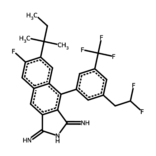 CCC(C)(C)c1cc2c(-c3cc(CC(F)F)cc(C(F)(F)F)c3)c3c(cc2cc1F)C(=N)NC3=N